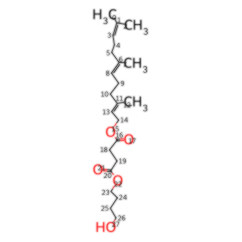 CC(C)=CCC/C(C)=C/CC/C(C)=C/COC(=O)CCC(=O)OCCCCO